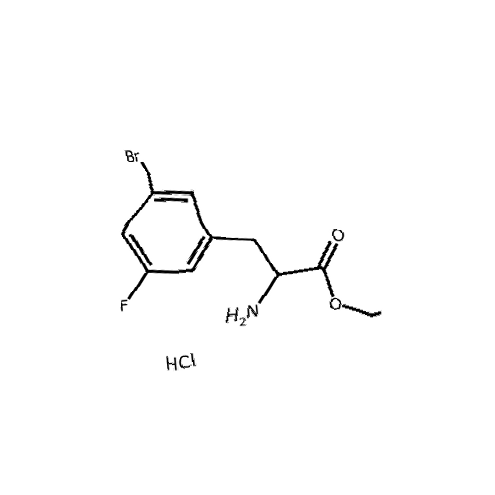 COC(=O)C(N)Cc1cc(F)cc(Br)c1.Cl